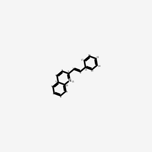 C(=Cc1ccc2ccccc2n1)c1ccccc1